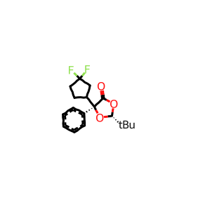 CC(C)(C)[C@H]1OC(=O)[C@](c2ccccc2)(C2CCC(F)(F)C2)O1